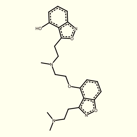 CN(C)CCc1noc2cccc(OCCN(C)CCc3onc4cccc(O)c34)c12